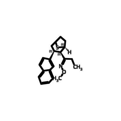 CCC(=NOC)[C@@H]1[C@@H]2CCC(C[C@@H]1c1ccc3ccccc3c1)S2